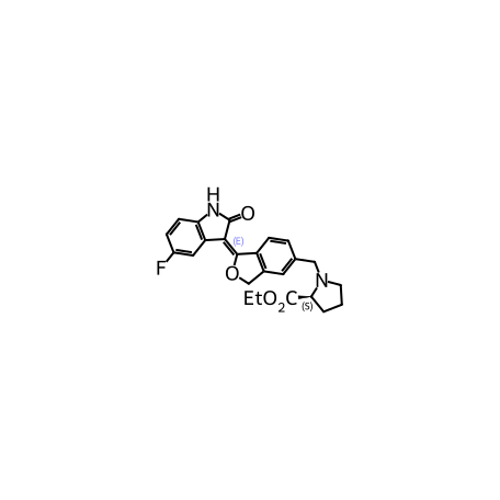 CCOC(=O)[C@@H]1CCCN1Cc1ccc2c(c1)CO/C2=C1/C(=O)Nc2ccc(F)cc21